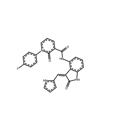 O=C1Nc2cccc(NC(=O)c3cccn(-c4ccc(F)cc4)c3=O)c2C1=Cc1ccc[nH]1